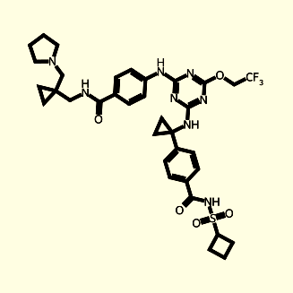 O=C(NCC1(CN2CCCC2)CC1)c1ccc(Nc2nc(NC3(c4ccc(C(=O)NS(=O)(=O)C5CCC5)cc4)CC3)nc(OCC(F)(F)F)n2)cc1